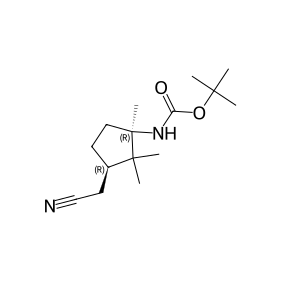 CC(C)(C)OC(=O)N[C@]1(C)CC[C@H](CC#N)C1(C)C